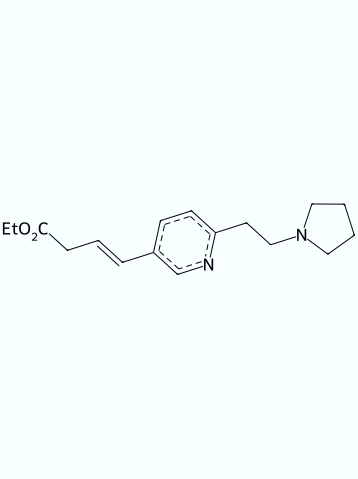 CCOC(=O)CC=Cc1ccc(CCN2CCCC2)nc1